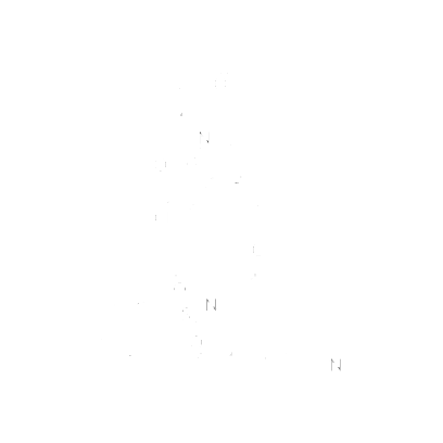 N#Cc1ccc2c(c1)cc(Cc1c(Cl)ccc(C(=O)N3CCOCC3)c1Cl)n2S(=O)(=O)c1ccccc1